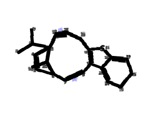 CC(C)C12C=CC(/C=C\c3c(sc4c3=CCCC=4)C/C=C\1)C2C